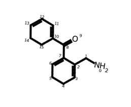 NCC1=CCCC=C1C(=O)C1=CC=CCC1